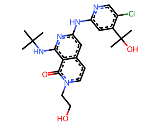 CC(C)(C)Nc1nc(Nc2cc(C(C)(C)O)c(Cl)cn2)cc2ccn(CCO)c(=O)c12